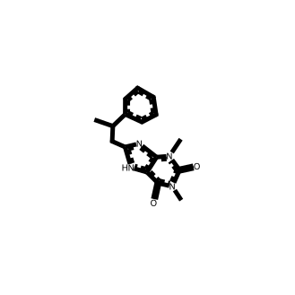 CC(Cc1nc2c([nH]1)c(=O)n(C)c(=O)n2C)c1ccccc1